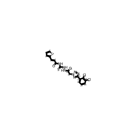 O=C(/C=C/c1cccs1)NC(=S)NNC(=O)Cn1nnc(-c2cccc(Cl)c2Cl)n1